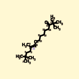 C/C(CCC(C)(C)C)=N\OCCCCCC(=O)C(C)(C)C